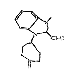 CN1c2ccccc2N(C2CCNCC2)C1C=O